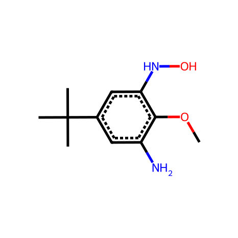 COc1c(N)cc(C(C)(C)C)cc1NO